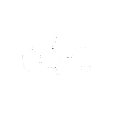 CCOC(=O)[13CH](C(=O)OCC)N1C(=O)c2ccccc2C1=O